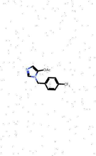 CC(=O)Oc1cncn1Cc1ccc(C(F)(F)F)cc1